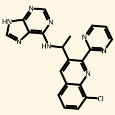 CC(Nc1ncnc2[nH]cnc12)c1cc2cccc(Cl)c2nc1-c1ncccn1